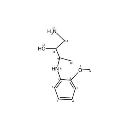 COc1ccccc1NC(C)C(O)CN